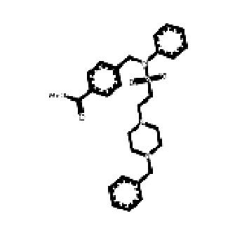 COC(=O)c1ccc(CN(c2ccccc2)S(=O)(=O)CCN2CCN(Cc3ccccc3)CC2)cc1